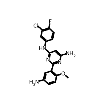 COc1ccc(N)cc1-c1nc(N)cc(Nc2ccc(F)c(Cl)c2)n1